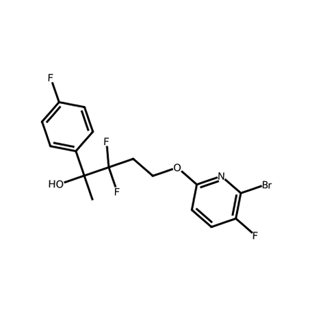 CC(O)(c1ccc(F)cc1)C(F)(F)CCOc1ccc(F)c(Br)n1